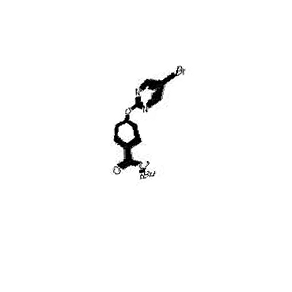 CC(C)(C)OC(=O)C1CCC(Oc2ncc(Br)cn2)CC1